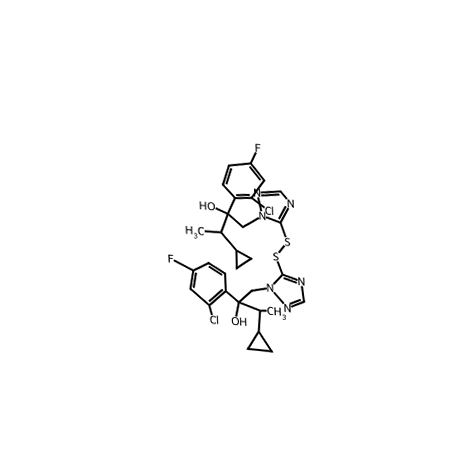 CC(C1CC1)C(O)(Cn1ncnc1SSc1ncnn1CC(O)(c1ccc(F)cc1Cl)C(C)C1CC1)c1ccc(F)cc1Cl